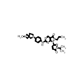 C=CCn1c(=O)c2cnc(Nc3ccc(N4CCC5(CN(C)C5)C4)cc3)nc2n1-c1ccc(=O)n(C(C)C)n1